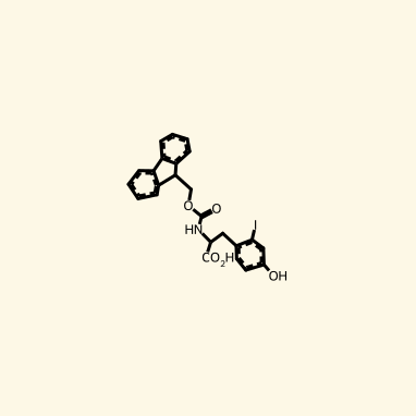 O=C(NC(Cc1ccc(O)cc1I)C(=O)O)OCC1c2ccccc2-c2ccccc21